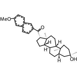 COc1ccc2cc(C(=O)[C@H]3CC[C@H]4[C@@H]5CC[C@H]6C[C@](C)(O)CC[C@]6(C)[C@H]5CC[C@]34C)ccc2c1